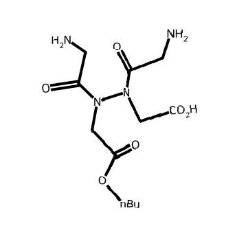 CCCCOC(=O)CN(C(=O)CN)N(CC(=O)O)C(=O)CN